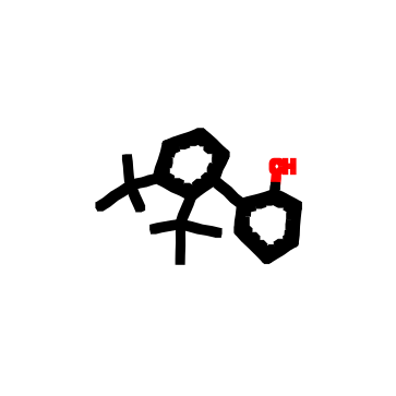 CC(C)(C)c1cccc(-c2ccccc2O)c1C(C)(C)C